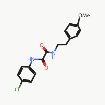 COc1ccc(CCNC(=O)C(=O)Nc2ccc(Cl)cc2)cc1